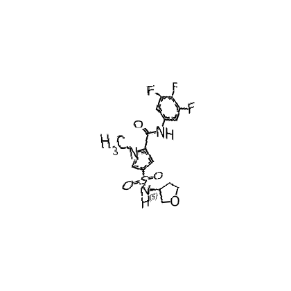 Cn1cc(S(=O)(=O)N[C@H]2CCOC2)cc1C(=O)Nc1cc(F)c(F)c(F)c1